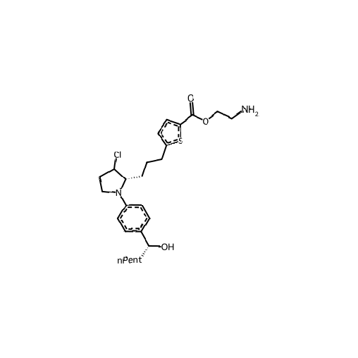 CCCCC[C@@H](O)c1ccc(N2CCC(Cl)[C@@H]2CCCc2ccc(C(=O)OCCN)s2)cc1